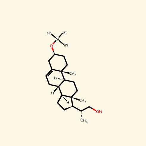 CC(C)[Si](O[C@H]1CC[C@@]2(C)C(=CC[C@H]3[C@@H]4CC[C@H]([C@@H](C)CO)[C@@]4(C)CC[C@@H]32)C1)(C(C)C)C(C)C